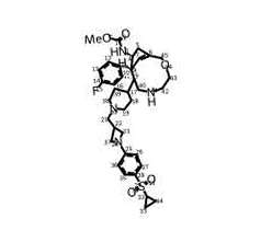 COC(=O)N[C@H]1CC2=C[C@@H]1[C@](c1cccc(F)c1)(C1CCN(CC3CN(c4ccc(S(=O)(=O)C5CC5)cc4)C3)CC1)CNCCOC2